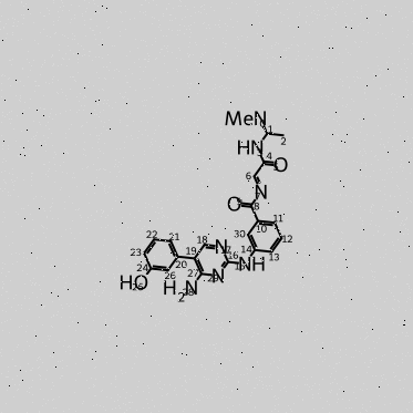 CNC(C)NC(=O)C=NC(=O)c1cccc(Nc2ncc(-c3cccc(O)c3)c(N)n2)c1